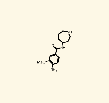 COc1cc(C(=O)NC2CCCNCC2)ccc1N